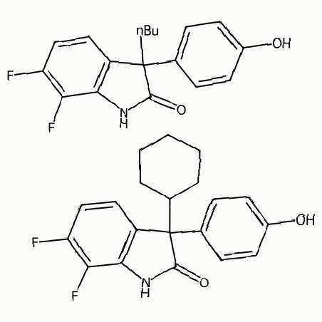 CCCCC1(c2ccc(O)cc2)C(=O)Nc2c1ccc(F)c2F.O=C1Nc2c(ccc(F)c2F)C1(c1ccc(O)cc1)C1CCCCC1